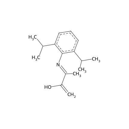 C=C(O)C(C)=Nc1c(C(C)C)cccc1C(C)C